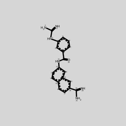 N=C(N)Nc1cccc(C(=O)Nc2ccc3ccc(C(=N)N)cc3c2)c1